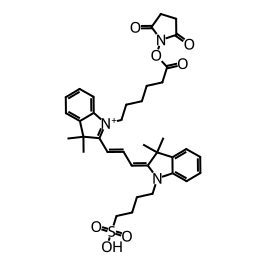 CC1(C)C(/C=C/C=C2/N(CCCCS(=O)(=O)O)c3ccccc3C2(C)C)=[N+](CCCCCC(=O)ON2C(=O)CCC2=O)c2ccccc21